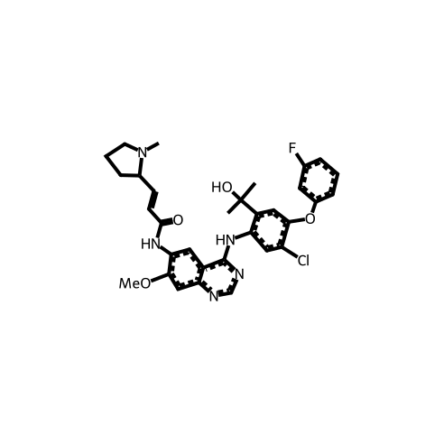 COc1cc2ncnc(Nc3cc(Cl)c(Oc4cccc(F)c4)cc3C(C)(C)O)c2cc1NC(=O)C=CC1CCCN1C